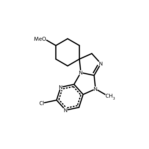 COC1CCC2(CC1)CN=C1N(C)c3cnc(Cl)nc3N12